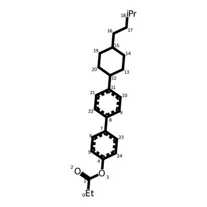 CCC(=O)Oc1ccc(-c2ccc(C3CCC(CCC(C)C)CC3)cc2)cc1